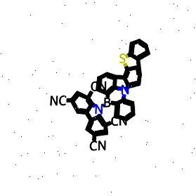 N#Cc1cc(C#N)c2c(c1)c1cc(C#N)cc(C#N)c1n2B1c2ccccc2-n2c3ccc4c5ccccc5sc4c3c3cccc1c32